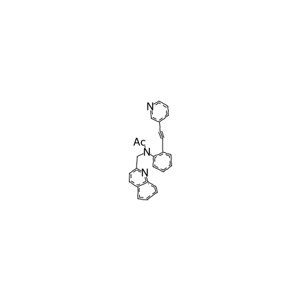 CC(=O)N(Cc1ccc2ccccc2n1)c1ccccc1C#Cc1cccnc1